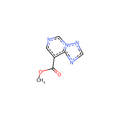 COC(=O)c1cncn2ncnc12